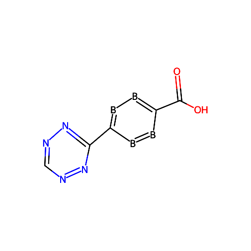 O=C(O)c1bbc(-c2nncnn2)bb1